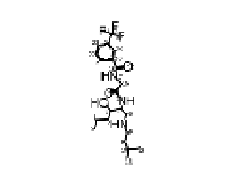 CCCC(O)C(CNCCC(C)C)NC(=O)CNC(=O)c1cccc(C(F)(F)F)c1